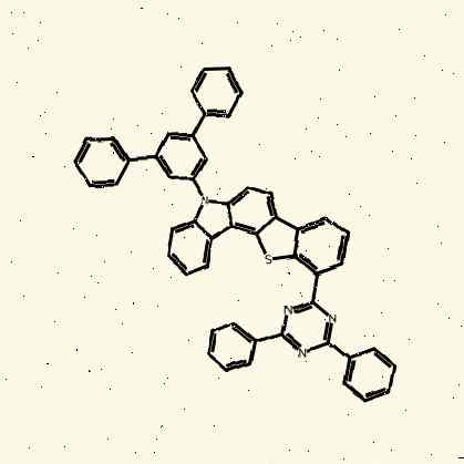 c1ccc(-c2cc(-c3ccccc3)cc(-n3c4ccccc4c4c5sc6c(-c7nc(-c8ccccc8)nc(-c8ccccc8)n7)cccc6c5ccc43)c2)cc1